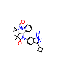 CC1(C)C(=O)N(c2ccc3c(C4CCC4)n[nH]c3c2)[C@@H](c2ccccc2)[C@H]1C1(NC=O)CC1